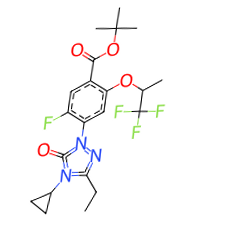 CCc1nn(-c2cc(OC(C)C(F)(F)F)c(C(=O)OC(C)(C)C)cc2F)c(=O)n1C1CC1